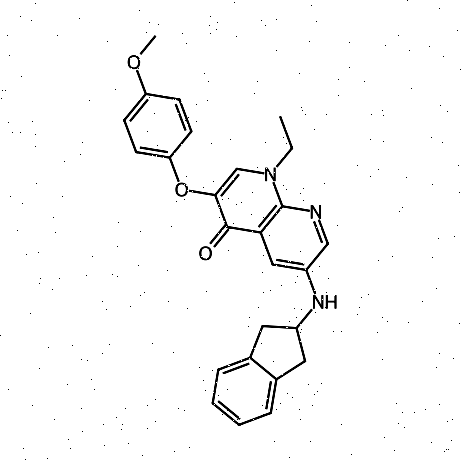 CCn1cc(Oc2ccc(OC)cc2)c(=O)c2cc(NC3Cc4ccccc4C3)cnc21